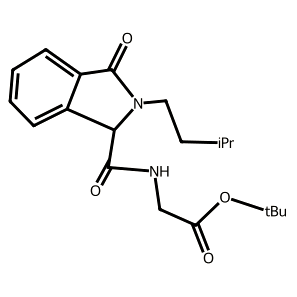 CC(C)CCN1C(=O)c2ccccc2C1C(=O)NCC(=O)OC(C)(C)C